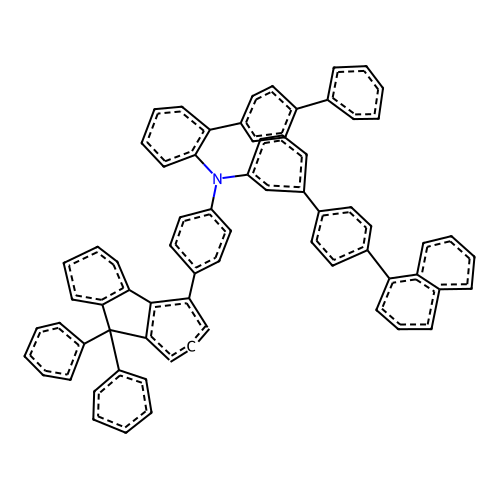 c1ccc(-c2ccc(-c3ccccc3N(c3ccc(-c4cccc5c4-c4ccccc4C5(c4ccccc4)c4ccccc4)cc3)c3cccc(-c4ccc(-c5cccc6ccccc56)cc4)c3)cc2)cc1